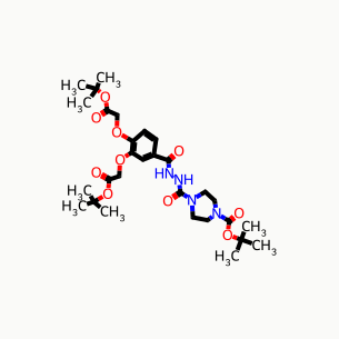 CC(C)(C)OC(=O)COc1ccc(C(=O)NNC(=O)N2CCN(C(=O)OC(C)(C)C)CC2)cc1OCC(=O)OC(C)(C)C